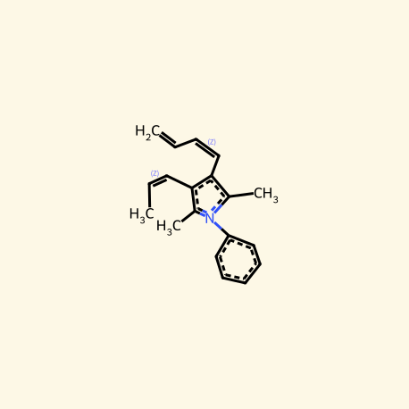 C=C/C=C\c1c(/C=C\C)c(C)n(-c2ccccc2)c1C